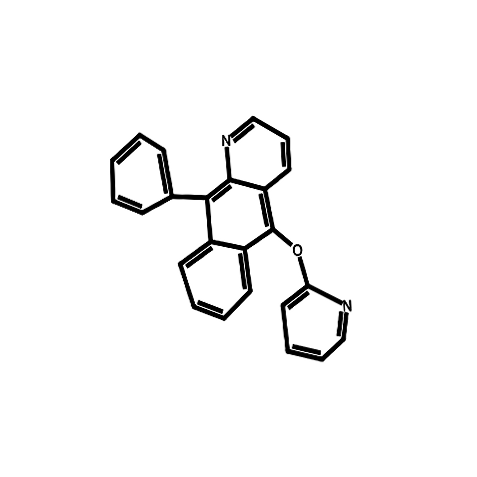 c1ccc(-c2c3ccccc3c(Oc3ccccn3)c3cccnc23)cc1